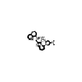 CCCN(Cc1nc2cccc(N3CC[C@@H](N(C)C)C3)n2c1C#N)[C@H]1CCCc2cccnc21